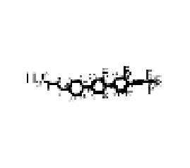 C=CCCC1CCC(c2ccc(-c3cc(F)c(C#CC(F)(F)F)c(F)c3)c(F)c2)CC1